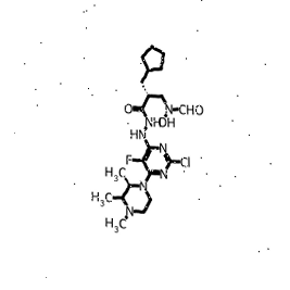 CC1[C@@H](C)N(c2nc(Cl)nc(NNC(=O)[C@H](CC3CCCC3)CN(O)C=O)c2F)CCN1C